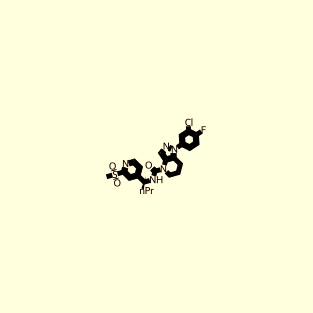 CCC[C@H](NC(=O)N1CCCc2c1cnn2-c1ccc(F)c(Cl)c1)c1ccnc(S(C)(=O)=O)c1